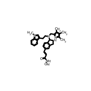 Cc1[nH]c(CN(CCc2cn(C)c3ccccc23)C2CCc3cc(/C=C/C(=O)NO)ccc32)c(C)c1C